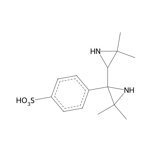 CC1(C)NC1C1(c2ccc(S(=O)(=O)O)cc2)NC1(C)C